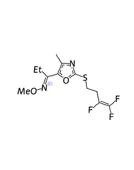 CC/C(=N\OC)c1oc(SCCC(F)=C(F)F)nc1C